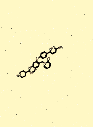 CC(C)c1ccc(-c2ccc(Oc3cc4nc(C5CCNCC5)ncc4cc3Cn3ccccc3=O)cc2)nn1